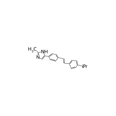 Cc1ncc(-c2ccc(/C=C/c3ccc(C(C)C)cc3)cc2)[nH]1